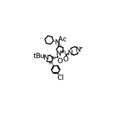 CC(=O)N([C@H]1C[C@H](C(=O)N2CCN(C)CC2)N(C(=O)[C@@H]2CN(C(C)(C)C)C[C@H]2c2ccc(Cl)cc2)C1)[C@H]1CC[C@@H](C)CC1